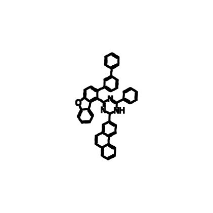 c1ccc(C2=NC(c3c(-c4cccc(-c5ccccc5)c4)ccc4oc5ccccc5c34)=NC(c3ccc4c(ccc5ccccc54)c3)N2)cc1